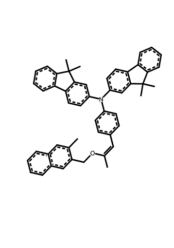 CC(=Cc1ccc(N(c2ccc3c(c2)C(C)(C)c2ccccc2-3)c2ccc3c(c2)C(C)(C)c2ccccc2-3)cc1)OCc1cc2ccccc2cc1C